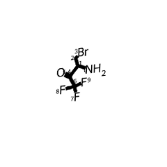 NC(CBr)C(=O)C(F)(F)F